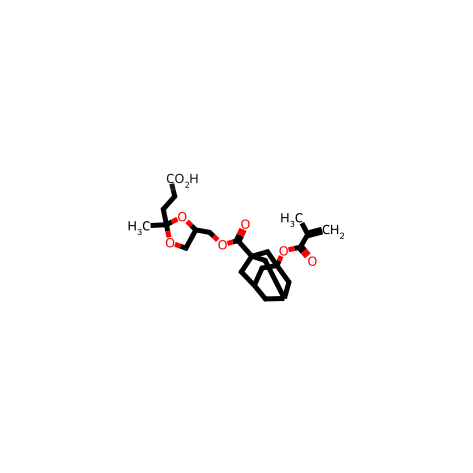 C=C(C)C(=O)OC12CC3CC(C1)CC(C(=O)OCC1COC(C)(CCC(=O)O)O1)(C3)C2